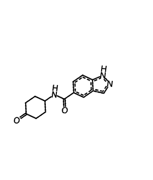 O=C1CCC(NC(=O)c2ccc3[nH]ncc3c2)CC1